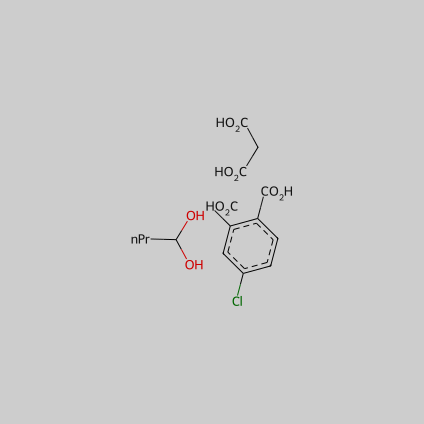 CCCC(O)O.O=C(O)CC(=O)O.O=C(O)c1ccc(Cl)cc1C(=O)O